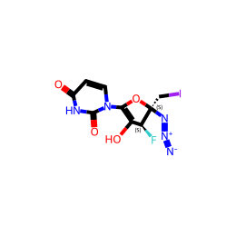 [N-]=[N+]=N[C@]1(CI)OC(n2ccc(=O)[nH]c2=O)=C(O)[C@@H]1F